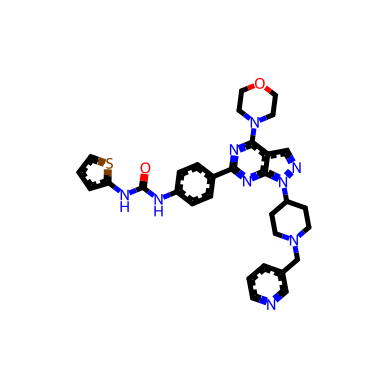 O=C(Nc1ccc(-c2nc(N3CCOCC3)c3cnn(C4CCN(Cc5cccnc5)CC4)c3n2)cc1)Nc1cccs1